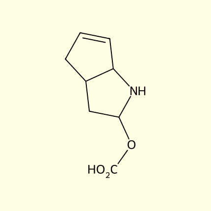 O=C(O)OC1CC2CC=CC2N1